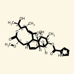 CO[C@H]1C[C@H]2C=C[C@H]3[C@H]4O[C@]2(/C(C)=C/[C@@H](C)[C@@H]([C@@H](C)O)OC1=O)[C@@H]3[C@H](O)[C@@H](C)[C@H]4OC(=O)c1ccc[nH]1